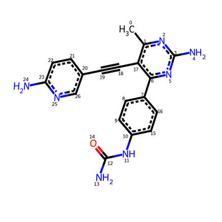 Cc1nc(N)nc(-c2ccc(NC(N)=O)cc2)c1C#Cc1ccc(N)nc1